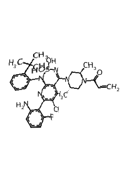 C=CC(=O)N1C[C@H](C)N(C2=NS(O)(O)N(c3ccccc3C(C)(C)C)c3nc(-c4c(N)cccc4F)c(Cl)cc32)C[C@H]1C